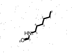 CCCCCCN[C]=O